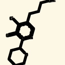 CC(=O)OCCCc1cnn(C2CCCCO2)c(=O)c1Cl